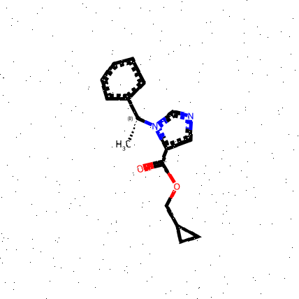 C[C@H](c1ccccc1)n1cncc1C(=O)OCC1CC1